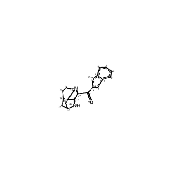 O=C(c1cc2ccccc2o1)C1C2NC3CC2CCN1C3